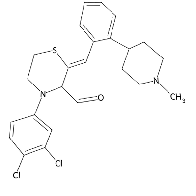 CN1CCC(c2ccccc2C=C2SCCN(c3ccc(Cl)c(Cl)c3)C2C=O)CC1